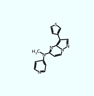 CN(c1ccncc1)c1ccn2ncc(-c3ccsc3)c2n1